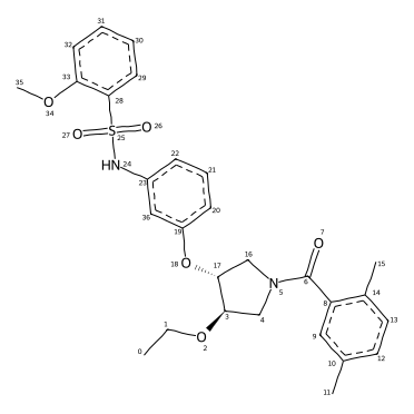 CCO[C@@H]1CN(C(=O)c2cc(C)ccc2C)C[C@H]1Oc1cccc(NS(=O)(=O)c2ccccc2OC)c1